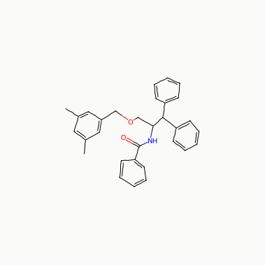 Cc1cc(C)cc(COCC(NC(=O)c2ccccc2)C(c2ccccc2)c2ccccc2)c1